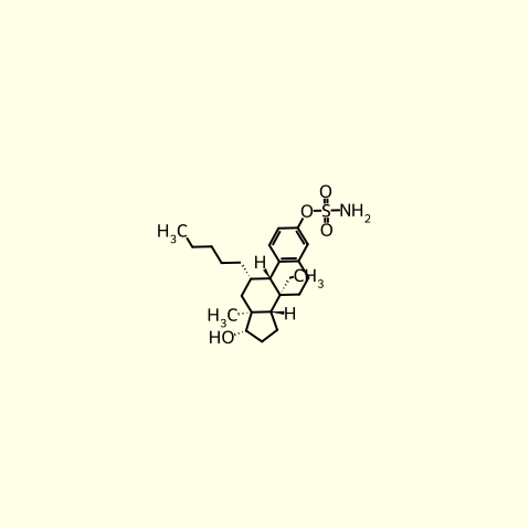 CCCCC[C@H]1C[C@@]2(C)[C@@H](CC[C@@H]2O)[C@]2(CC)CCc3cc(OS(N)(=O)=O)ccc3[C@@H]12